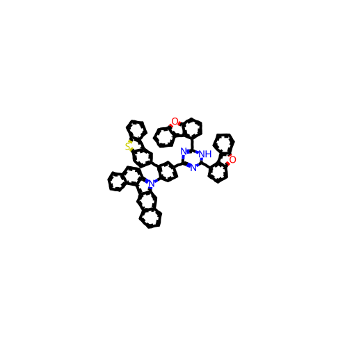 c1ccc2cc3c(cc2c1)c1c2ccccc2ccc1n3-c1ccc(C2=NC(c3cccc4oc5ccccc5c34)NC(c3cccc4oc5ccccc5c34)=N2)cc1-c1ccc2sc3ccccc3c2c1